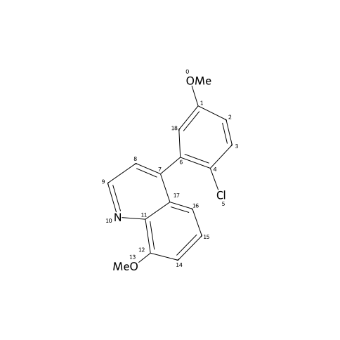 COc1ccc(Cl)c(-c2ccnc3c(OC)cccc23)c1